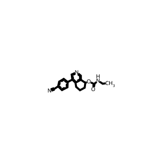 CCNC(=O)OC1CCCc2c(-c3ccc(C#N)cc3)cncc21